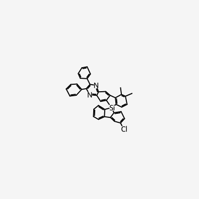 Cc1ccc2c(c1C)-c1cc3nc(-c4ccccc4)c(-c4ccccc4)nc3cc1[Si]21c2ccccc2-c2cc(Cl)ccc21